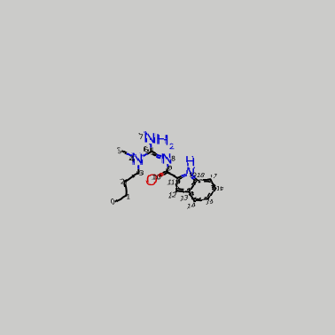 CCCCN(C)C(N)=NC(=O)c1cc2ccccc2[nH]1